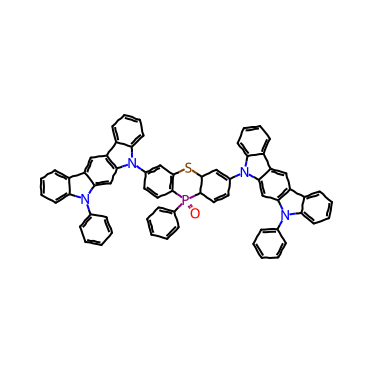 O=P1(c2ccccc2)c2ccc(-n3c4ccccc4c4cc5c6ccccc6n(-c6ccccc6)c5cc43)cc2SC2C=C(n3c4ccccc4c4cc5c6ccccc6n(-c6ccccc6)c5cc43)C=CC21